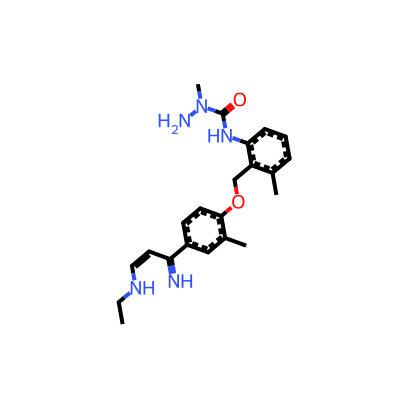 CCN/C=C\C(=N)c1ccc(OCc2c(C)cccc2NC(=O)N(C)N)c(C)c1